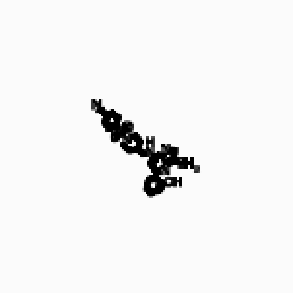 Bc1cnn2c(NCC3CCN(S(=O)(=O)c4ccc(C#N)cc4)CC3)cc(-c3ccccc3O)nc12